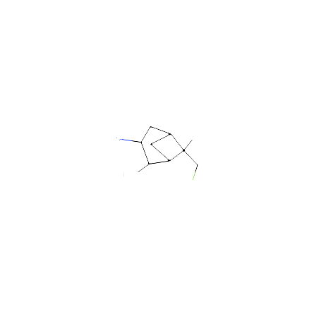 CC1C(N)CC2CC1C2(C)CF